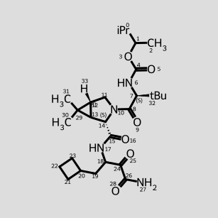 CC(C)C(C)OC(=O)N[C@H](C(=O)N1C[C@@H]2C([C@H]1C(=O)NC(CC1CCC1)C(=O)C(N)=O)C2(C)C)C(C)(C)C